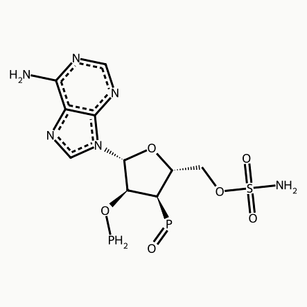 Nc1ncnc2c1ncn2[C@@H]1O[C@H](COS(N)(=O)=O)[C@@H](P=O)[C@H]1OP